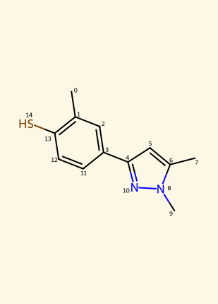 Cc1cc(-c2cc(C)n(C)n2)ccc1S